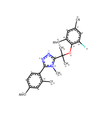 COc1ccc(-c2nnc(C(C)(C)Oc3c(F)cc(C#N)cc3OC)n2C)c(C(F)(F)F)c1